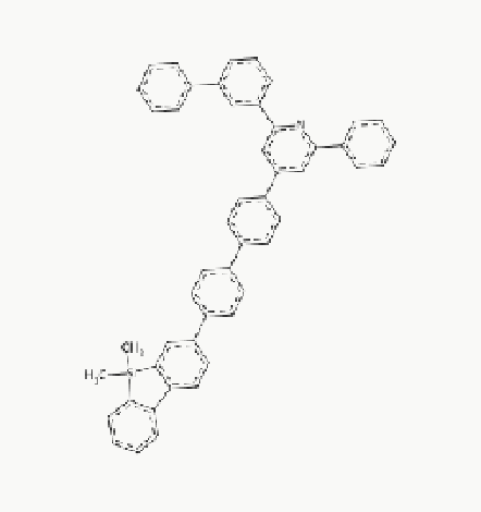 C[Si]1(C)c2ccccc2-c2ccc(-c3ccc(-c4ccc(-c5cc(-c6ccccc6)nc(-c6cccc(-c7ccccc7)c6)c5)cc4)cc3)cc21